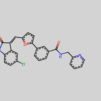 O=C1Nc2ccc(Cl)cc2/C1=C\c1ccc(-c2cccc(C(=O)NCc3ccccn3)c2)o1